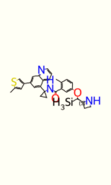 Cc1cc(-c2cc(C3(NC(=O)c4cc(OC([SiH3])[C@@H]5CCN5)ccc4C)CC3)c3cccnc3c2)cs1